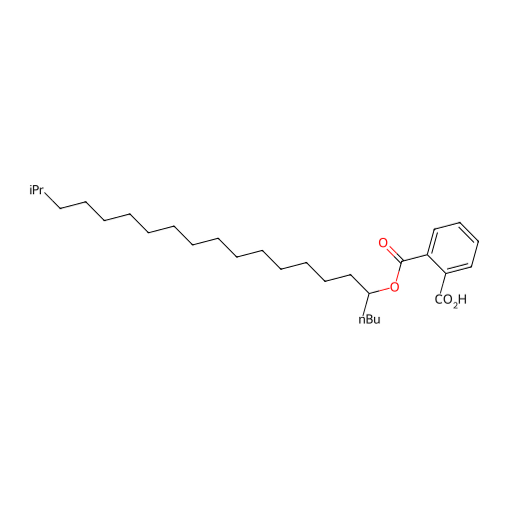 CCCCC(CCCCCCCCCCCCCCC(C)C)OC(=O)c1ccccc1C(=O)O